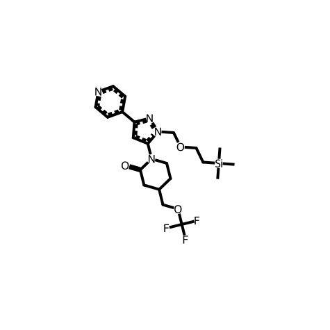 C[Si](C)(C)CCOCn1nc(-c2ccncc2)cc1N1CCC(COC(F)(F)F)CC1=O